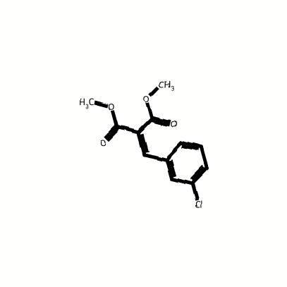 COC(=O)C(=Cc1[c]ccc(Cl)c1)C(=O)OC